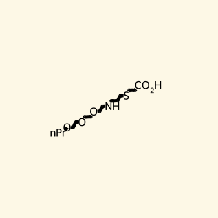 CCCOCCOCCOCCNCCCSCCC(=O)O